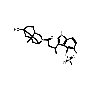 Cc1ccc2[nH]cc(C(C)CC(=O)N3CC4CCC5(O)CC3CC4(C)C5)c2c1OS(C)(=O)=O